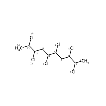 CC(Cl)C(Cl)CC(Cl)C(Cl)CC(Cl)C(C)Cl